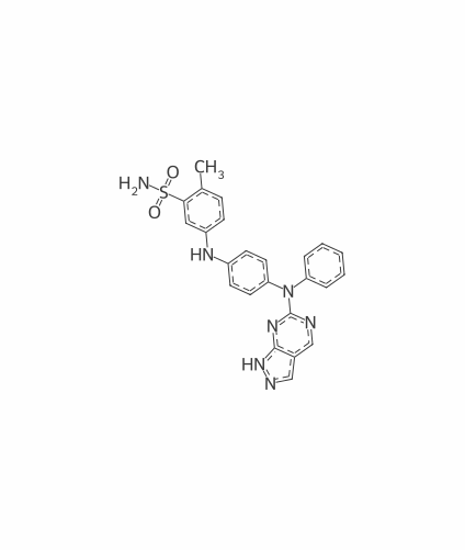 Cc1ccc(Nc2ccc(N(c3ccccc3)c3ncc4cn[nH]c4n3)cc2)cc1S(N)(=O)=O